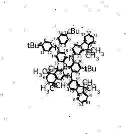 CC(C)(C)c1ccc(N(c2ccc(C(C)(C)C)cc2)c2ccc3c(c2)N(c2ccc4c(c2)C(C)(C)c2ccccc2-4)c2cc(C(C)(C)C)cc4c2B3c2cc3c(cc2N4c2ccc4c(c2)C(C)(C)c2ccccc2-4)C(C)(C)CCC3(C)C)cc1